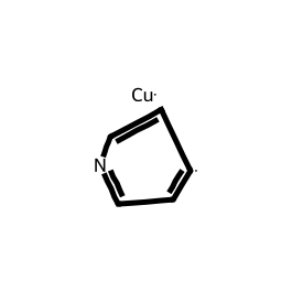 [Cu].[c]1ccncc1